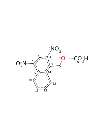 O=C(O)OCc1c([N+](=O)[O-])cc([N+](=O)[O-])c2ccccc12